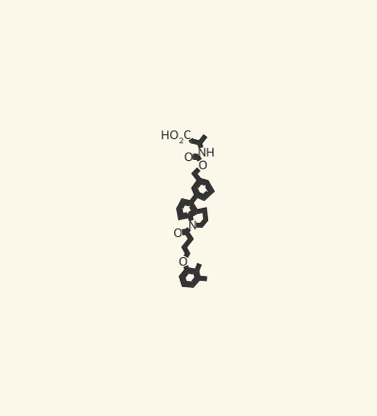 Cc1cccc(OCCCC(=O)N2CCCc3c(-c4cccc(COC(=O)NC(C)CC(=O)O)c4)cccc32)c1C